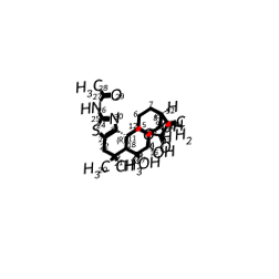 C=C1C(=O)[C@@]23C(CC[C@@H]1[C@H]2O)[C@@]12CO[C@@]3(O)[C@@H](O)C1C(C)(C)Cc1sc(NC(C)=O)nc12